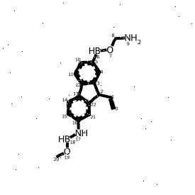 C=CC1c2cc(BOCN)ccc2-c2ccc(NBOC)cc21